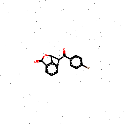 O=C1OC2c3c1cccc3C2C(=O)c1ccc(Br)cc1